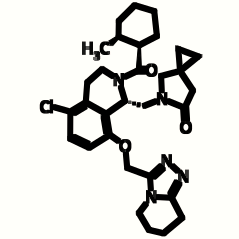 C[C@H]1CCCC[C@H]1C(=O)N1CCc2c(Cl)ccc(OCc3nnc4n3CCCC4)c2[C@H]1CN1CC2(CC2)CC1=O